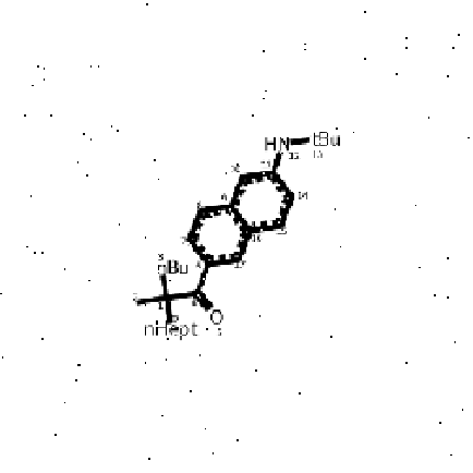 CCCCCCCC(C)(CCCC)C(=O)c1ccc2cc(NC(C)(C)C)ccc2c1